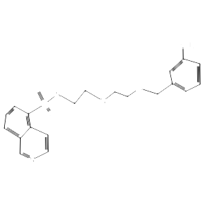 Cc1cccc(COCCNCCNS(=O)(=O)c2cccc3cnccc23)c1